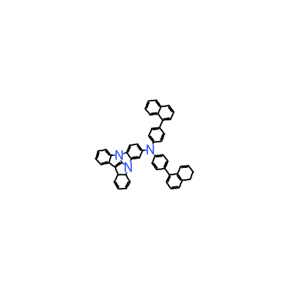 C1=CC2c3c4ccccc4n4c5ccc(N(c6ccc(-c7cccc8c7C=CCC8)cc6)c6ccc(-c7cccc8ccccc78)cc6)cc5n(c34)C2C=C1